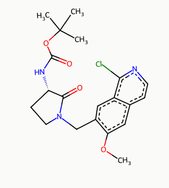 COc1cc2ccnc(Cl)c2cc1CN1CC[C@H](NC(=O)OC(C)(C)C)C1=O